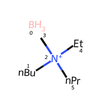 B.CCCC[N+](C)(CC)CCC